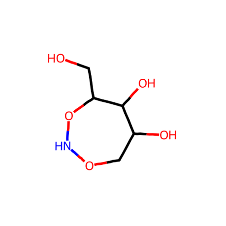 OCC1ONOCC(O)C1O